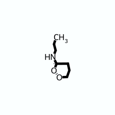 CCCN[C]1CCCOO1